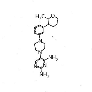 CC1OCCCC1c1cccc(N2CCN(c3cnc(N)nc3N)CC2)c1